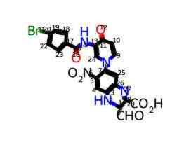 O=CC1Nc2cc([N+](=O)[O-])c(-n3ccc(=O)c(NC(=O)c4ccc(Br)cc4)c3)cc2N=C1C(=O)O